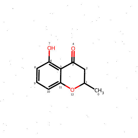 CC1CC(=O)c2c(O)cccc2O1